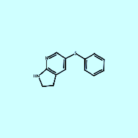 c1ccc(Sc2cnc3c(c2)CCN3)cc1